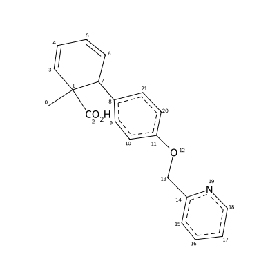 CC1(C(=O)O)C=CC=CC1c1ccc(OCc2ccccn2)cc1